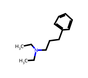 CCN(CC)CCCc1ccccc1